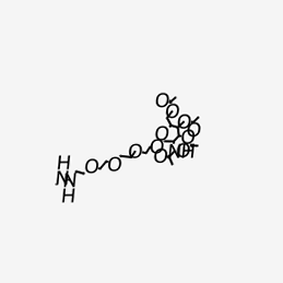 CNNCCOCCOCCOCCOC1OC(COC(C)=O)C(OC(C)=O)C(OC(C)=O)C1NC(C)=O